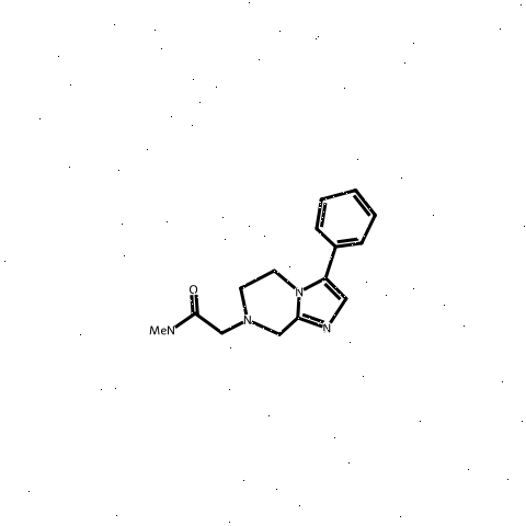 CNC(=O)CN1CCn2c(-c3ccccc3)cnc2C1